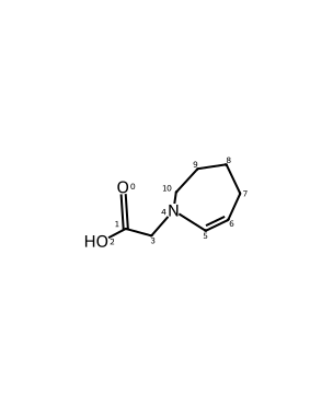 O=C(O)CN1C=CCCCC1